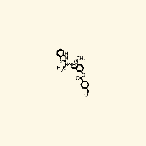 COc1ccc(OC(=O)C2CCC(C=O)CC2)cc1CNN(C)C1Nc2ccccc2S1